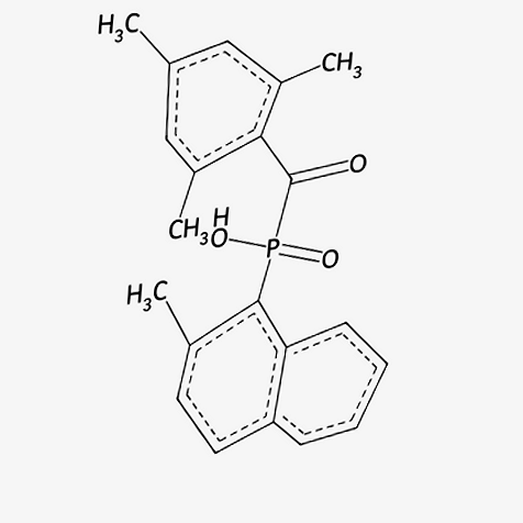 Cc1cc(C)c(C(=O)P(=O)(O)c2c(C)ccc3ccccc23)c(C)c1